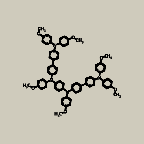 COc1ccc(N(c2ccc(OC)cc2)c2ccc(-c3ccc(N(c4ccc(OC)cc4)c4ccc(N(c5ccc(OC)cc5)c5ccc(-c6ccc(N(c7ccc(OC)cc7)c7ccc(OC)cc7)cc6)cc5)cc4)cc3)cc2)cc1